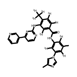 [2H]c1c(C)c([2H])c(-n2cnc(C)c2)c([2H])c1NC(=O)c1c([2H])c([2H])c(C([2H])([2H])[2H])c(Nc2nccc(-c3cccnc3)n2)c1[2H]